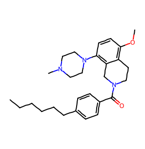 CCCCCCc1ccc(C(=O)N2CCc3c(OC)ccc(N4CCN(C)CC4)c3C2)cc1